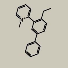 CCc1ccc(-c2ccccc2)cc1-c1cccc[n+]1C